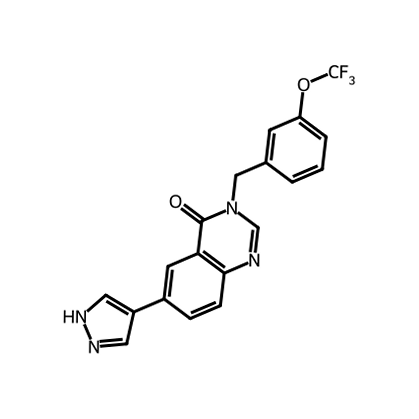 O=c1c2cc(-c3cn[nH]c3)ccc2ncn1Cc1cccc(OC(F)(F)F)c1